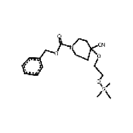 C[Si](C)(C)OCCOC1(C#N)CCN(C(=O)OCc2ccccc2)CC1